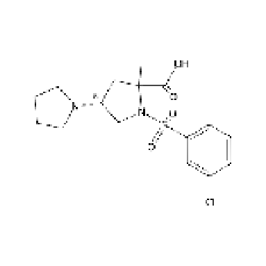 CC1(C(=O)O)C[C@@H](N2CCCC2)CN1S(=O)(=O)c1cccc(Cl)c1